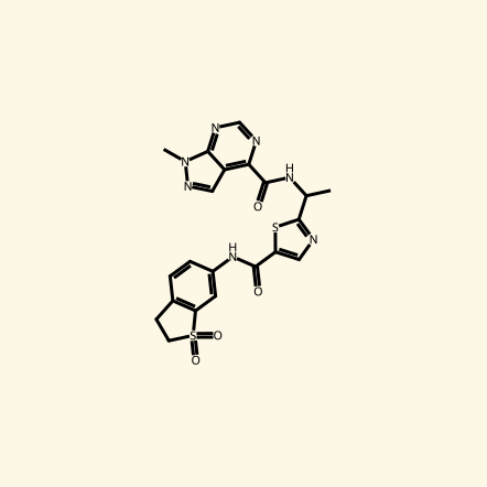 CC(NC(=O)c1ncnc2c1cnn2C)c1ncc(C(=O)Nc2ccc3c(c2)S(=O)(=O)CC3)s1